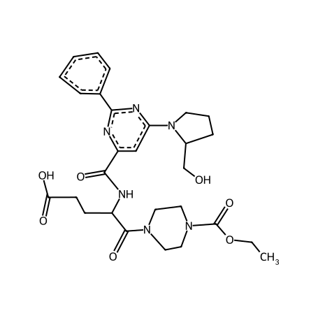 CCOC(=O)N1CCN(C(=O)C(CCC(=O)O)NC(=O)c2cc(N3CCCC3CO)nc(-c3ccccc3)n2)CC1